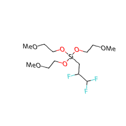 COCCO[Si](CC(F)C(F)F)(OCCOC)OCCOC